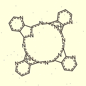 c1cnc2c(c1)-c1nc-2nc2[nH]c(nc3nc(nc4[nH]c(n1)c1ncccc41)-c1cccnc1-3)c1ncccc21